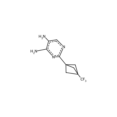 Nc1cnc(C23CC(C(F)(F)F)(C2)C3)nc1N